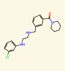 O=C(c1cccc(CNCCNc2cccc(Cl)c2)c1)N1CCCCC1